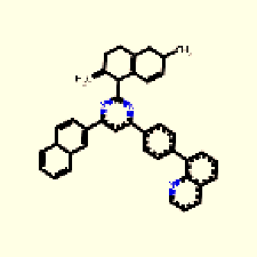 C=C1CCC2=C(C=CC(C)C2)C1c1nc(C2=CC3C=CC=CC3C=C2)cc(-c2ccc(-c3cccc4cccnc34)cc2)n1